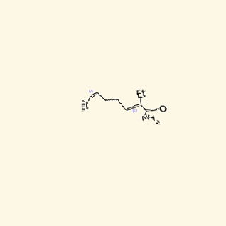 CC/C=C\CC/C=C(\CC)C(N)=O